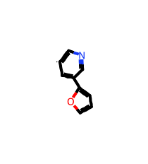 [c]1cncc(-c2ccco2)c1